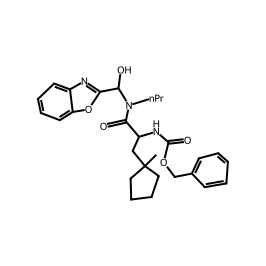 CCCN(C(=O)C(CC1(C)CCCC1)NC(=O)OCc1ccccc1)C(O)c1nc2ccccc2o1